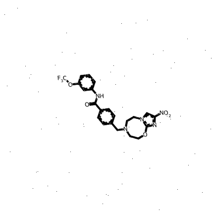 O=C(Nc1cccc(OC(F)(F)F)c1)c1ccc(CN2CCOc3nc([N+](=O)[O-])cn3CC2)cc1